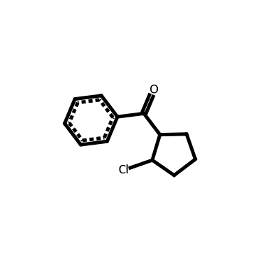 O=C(c1ccccc1)C1CCCC1Cl